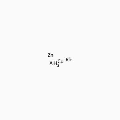 [AlH3].[Cu].[Rh].[Zn]